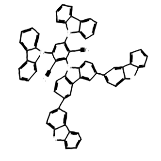 N#Cc1c(-n2c3ccccc3c3ccccc32)cc(-n2c3ccccc3c3ccccc32)c(C#N)c1-n1c2ccc(-c3ccc4oc5ccccc5c4c3)cc2c2cc(-c3ccc4oc5ccccc5c4c3)ccc21